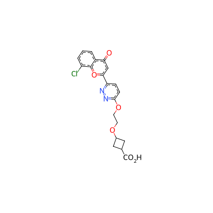 O=C(O)C1CC(OCCOc2ccc(-c3cc(=O)c4cccc(Cl)c4o3)nn2)C1